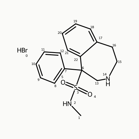 Br.CNS(=O)(=O)C1(c2ccccc2)CNCCc2ccccc21